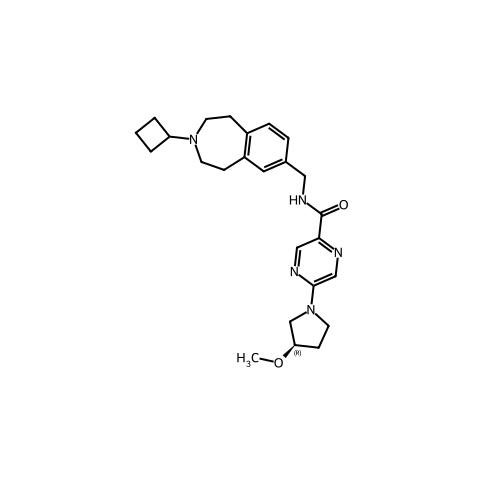 CO[C@@H]1CCN(c2cnc(C(=O)NCc3ccc4c(c3)CCN(C3CCC3)CC4)cn2)C1